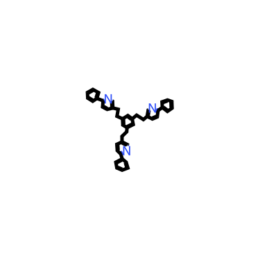 c1ccc(-c2ccc(CCc3cc(CCc4ccc(-c5ccccc5)nc4)cc(CCc4ccc(-c5ccccc5)nc4)c3)cn2)cc1